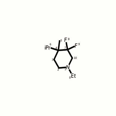 CCN1CCC(C)(C(C)C)C(F)(F)C1